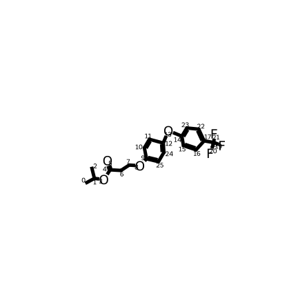 CC(C)OC(=O)CCOc1ccc(Oc2ccc(C(F)(F)F)cc2)cc1